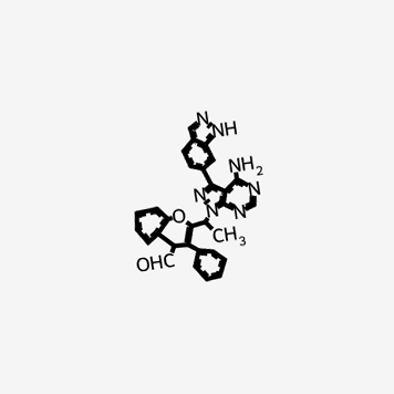 CC(C1=C(c2ccccc2)C(C=O)c2ccccc2O1)n1nc(-c2ccc3cn[nH]c3c2)c2c(N)ncnc21